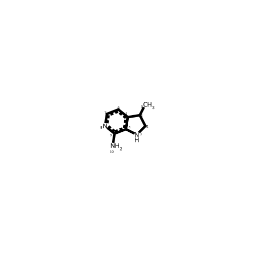 CC1CNc2c1ccnc2N